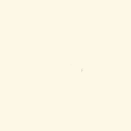 [CH2]CC(C1=CCCCCCCCC1)(C1=CCCCCCCCC1)C1=CCCCCCCCC1